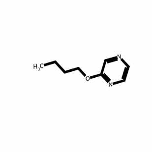 CCCCOc1cnccn1